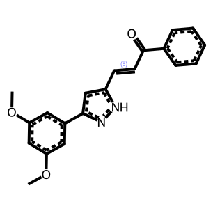 COc1cc(OC)cc(-c2cc(/C=C/C(=O)c3ccccc3)[nH]n2)c1